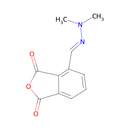 CN(C)N=Cc1cccc2c1C(=O)OC2=O